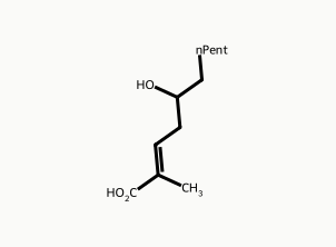 CCCCCCC(O)CC=C(C)C(=O)O